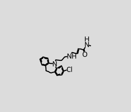 CNC(=O)/C=C/CNCCCN1c2ccccc2CCc2ccc(Cl)cc21